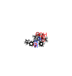 COc1ccc(C2(C)CCC2)cc1CN[C@H]1[C@H](C(C)(C)C)[C@@H](C(=O)O)N(C(=O)OC(C)C)[C@H]1c1ccccc1